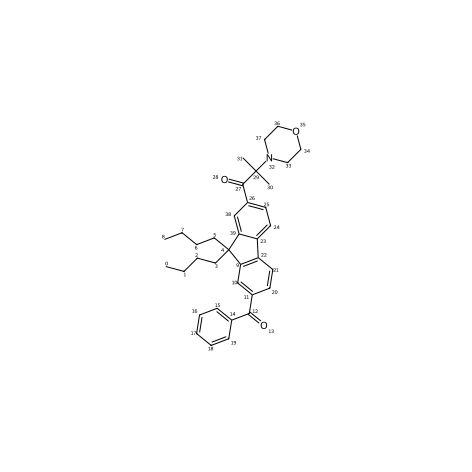 CCCCC1(CCCC)c2cc(C(=O)c3ccccc3)ccc2-c2ccc(C(=O)C(C)(C)N3CCOCC3)cc21